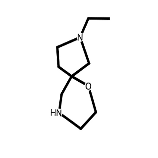 CCN1CCC2(CNCCO2)C1